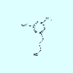 COc1cc(N)cc(CCCO)c1